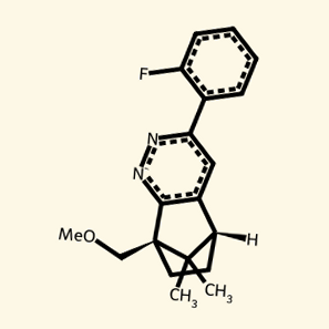 COC[C@@]12CC[C@@H](c3cc(-c4ccccc4F)nnc31)C2(C)C